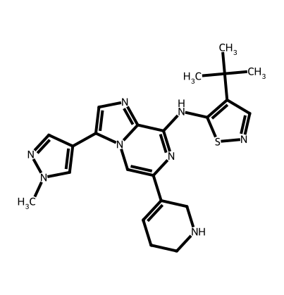 Cn1cc(-c2cnc3c(Nc4sncc4C(C)(C)C)nc(C4=CCCNC4)cn23)cn1